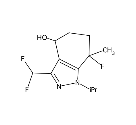 CC(C)n1nc(C(F)F)c2c1C(C)(F)CCC2O